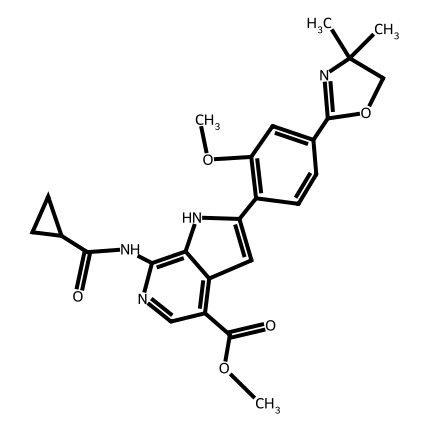 COC(=O)c1cnc(NC(=O)C2CC2)c2[nH]c(-c3ccc(C4=NC(C)(C)CO4)cc3OC)cc12